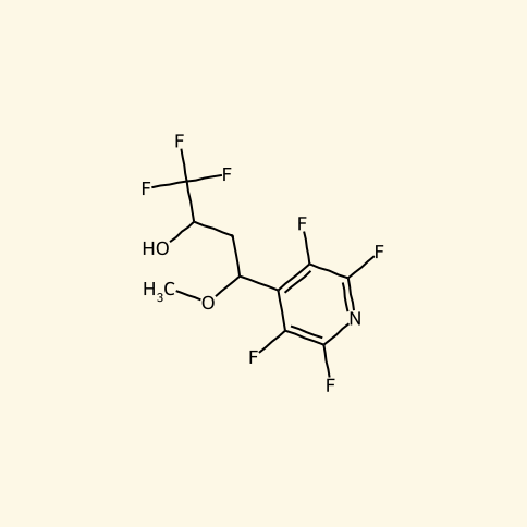 COC(CC(O)C(F)(F)F)c1c(F)c(F)nc(F)c1F